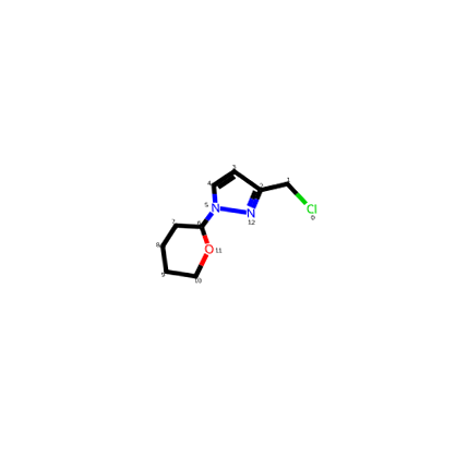 ClCc1ccn(C2CCCCO2)n1